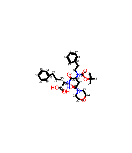 CC(C)(C)OC(=O)N(CCc1ccccc1)C(CC(=O)N1CCOCC1)C(=O)N[C@@H](CCCc1ccccc1)B(O)O